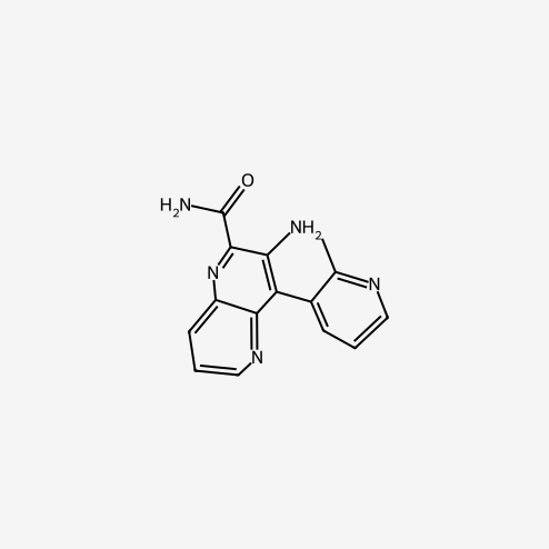 Cc1ncccc1-c1c(N)c(C(N)=O)nc2cccnc12